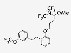 COC(CCCOc1ccccc1CCc1cccc(OC(F)(F)F)c1)N(C(F)(F)F)C(F)(F)F